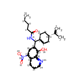 C=C(C)[C@@H]1CC=C(C(NC(=O)CCCC)c2cc([N+](=O)[O-])c3cccnc3c2O)CC1